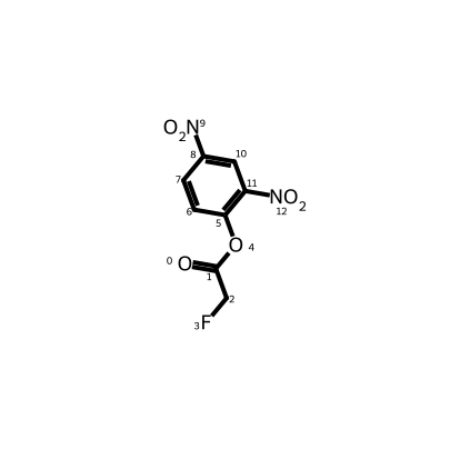 O=C(CF)Oc1ccc([N+](=O)[O-])cc1[N+](=O)[O-]